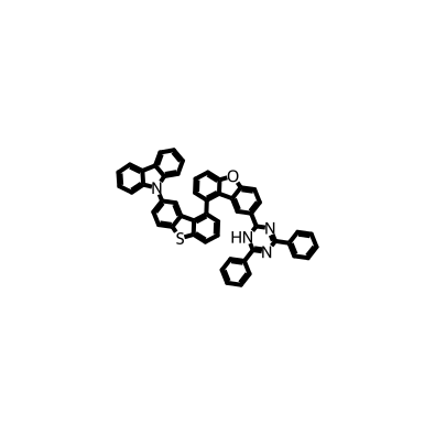 c1ccc(C2=NC(c3ccc4oc5cccc(-c6cccc7sc8ccc(-n9c%10ccccc%10c%10ccccc%109)cc8c67)c5c4c3)NC(c3ccccc3)=N2)cc1